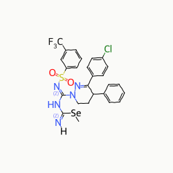 [H]/N=C(/N/C(=N/S(=O)(=O)c1cccc(C(F)(F)F)c1)N1CCC(c2ccccc2)C(c2ccc(Cl)cc2)=N1)[Se]C